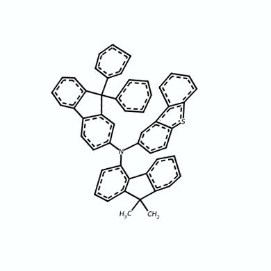 CC1(C)c2ccccc2-c2c(N(c3ccc4c(c3)C(c3ccccc3)(c3ccccc3)c3ccccc3-4)c3ccc4sc5ccccc5c4c3)cccc21